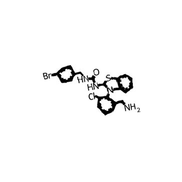 NCc1cccc(Cl)c1N1c2ccccc2SC1NC(=O)NCc1ccc(Br)cc1